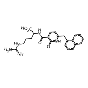 N=C(N)NCCC[C@H](NC(=O)c1ccc(Cc2cccc3ccccc23)[nH]c1=O)C(=O)O